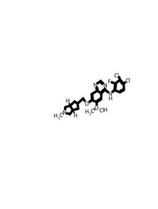 COc1cc2c(Nc3ccc(Cl)c(Cl)c3F)ncnc2cc1OCC1C[C@@H]2CN(C)C[C@@H]2C1.Cl